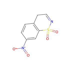 O=[N+]([O-])c1ccc2c(c1)S(=O)(=O)N=CC2